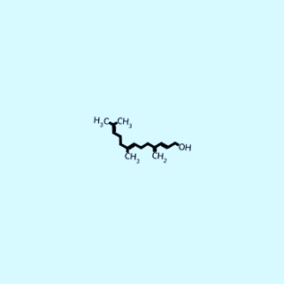 C=C(/C=C/CO)CC/C=C(\C)CCC=C(C)C